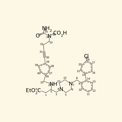 CCOC(=O)CC(CN1CCN(Cc2ccccc2-c2ccc(Cl)cc2)CC1)NCc1ccc(C#CCCN(C(N)=O)C(=O)O)cc1